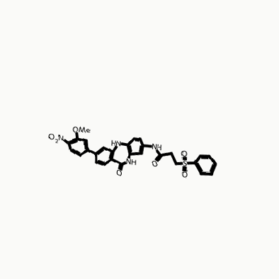 COc1cc(-c2ccc3c(c2)Nc2ccc(NC(=O)CCS(=O)(=O)c4ccccc4)cc2NC3=O)ccc1[N+](=O)[O-]